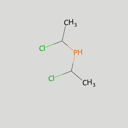 CC(Cl)PC(C)Cl